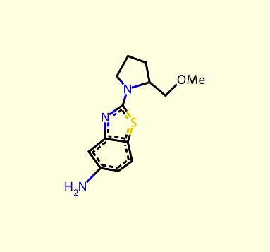 COCC1CCCN1c1nc2cc(N)ccc2s1